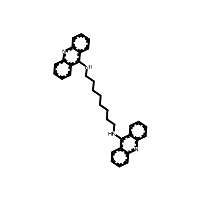 c1ccc2c(NCCCCCCCCNc3c4ccccc4nc4ccccc34)c3ccccc3nc2c1